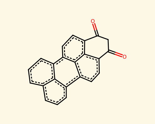 O=C1CC(=O)c2ccc3c4cccc5cccc(c6ccc1c2c63)c54